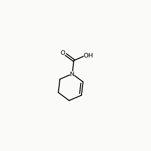 O=C(O)N1C=CCCC1